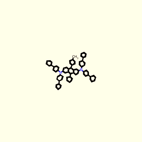 Cc1ccc(-c2c3ccc(N(C4=CCC(c5ccccc5)C=C4)c4ccc(-c5ccccc5)cc4)cc3c(-c3ccccc3)c3ccc(N(c4ccc(-c5ccccc5)cc4)c4ccc(-c5ccccc5)cc4)cc23)cc1